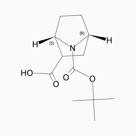 CC(C)(C)OC(=O)N1[C@@H]2CC[C@H]1C(C(=O)O)C2